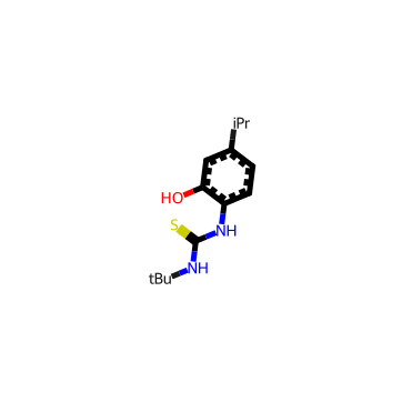 CC(C)c1ccc(NC(=S)NC(C)(C)C)c(O)c1